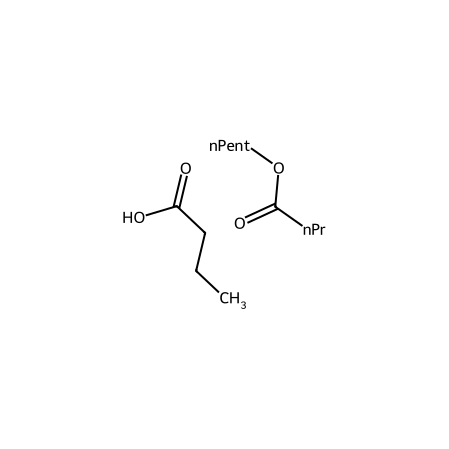 CCCC(=O)O.CCCCCOC(=O)CCC